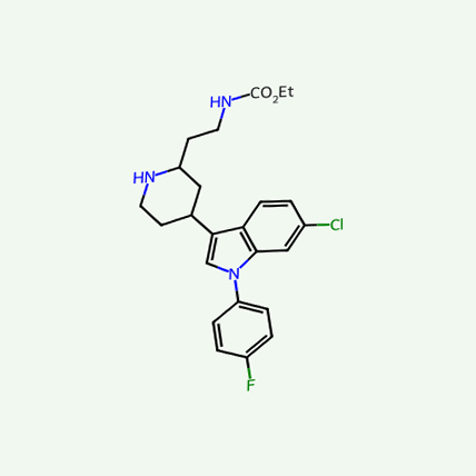 CCOC(=O)NCCC1CC(c2cn(-c3ccc(F)cc3)c3cc(Cl)ccc23)CCN1